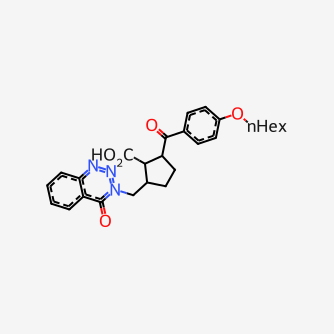 CCCCCCOc1ccc(C(=O)C2CCC(Cn3nnc4ccccc4c3=O)C2C(=O)O)cc1